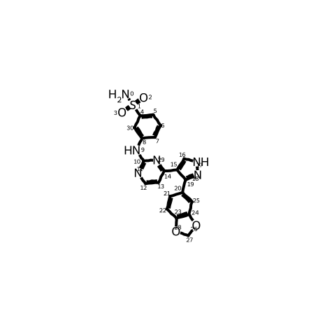 NS(=O)(=O)c1cccc(Nc2nccc(-c3c[nH]nc3-c3ccc4c(c3)OCO4)n2)c1